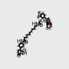 O=C(COc1c(-c2csc(N3C4CCCC3COC4)n2)ccc(F)c1F)NCCCCCCCCCCC(=O)Nc1ccc(C2CCC(=O)NC2=O)cc1